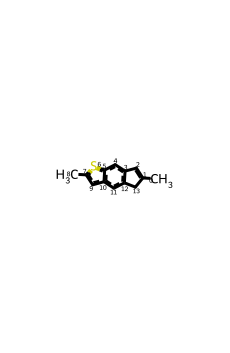 CC1=Cc2cc3sc(C)cc3cc2C1